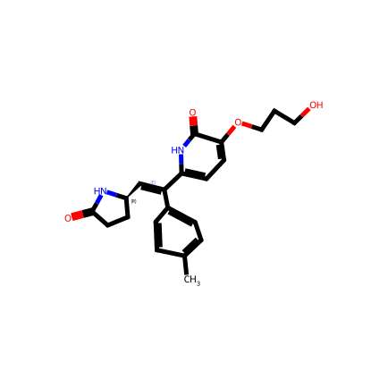 Cc1ccc(/C(=C\[C@H]2CCC(=O)N2)c2ccc(OCCCO)c(=O)[nH]2)cc1